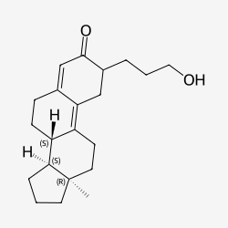 C[C@]12CCC[C@H]1[C@@H]1CCC3=CC(=O)C(CCCO)CC3=C1CC2